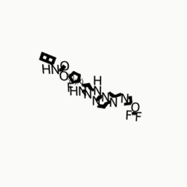 O=C(NC1CC2CCC21)O[C@@H]1CC[C@H](c2cc(Nc3nccc4nc(CN5CC(OC(F)F)C5)cn34)n[nH]2)[C@@H]1F